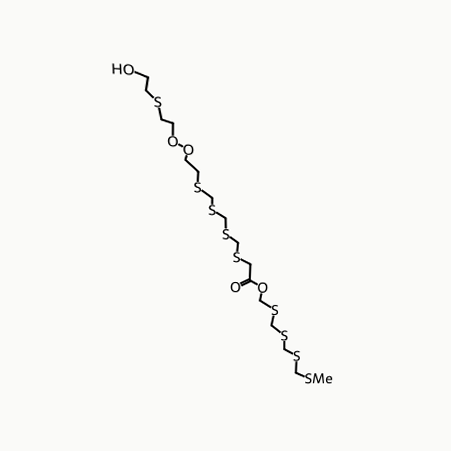 CSCSCSCSCOC(=O)CSCSCSCSCCOOCCSCCO